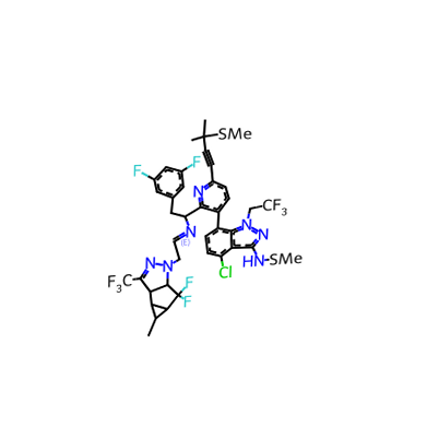 CSNc1nn(CC(F)(F)F)c2c(-c3ccc(C#CC(C)(C)SC)nc3C(Cc3cc(F)cc(F)c3)/N=C/CN3N=C(C(F)(F)F)C4C5C(C)C5C(F)(F)C43)ccc(Cl)c12